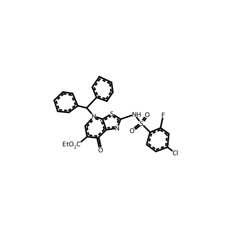 CCOC(=O)c1cn(C(c2ccccc2)c2ccccc2)c2sc(NS(=O)(=O)c3ccc(Cl)cc3F)nc2c1=O